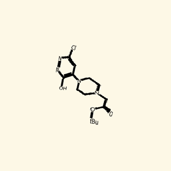 CC(C)(C)OC(=O)CN1CCN(c2cc(Cl)nnc2O)CC1